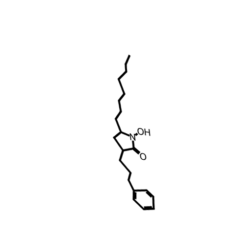 CCCCCCCCC1CC(CCCc2ccccc2)C(=O)N1O